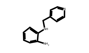 Nc1ccccc1NCc1ccncc1